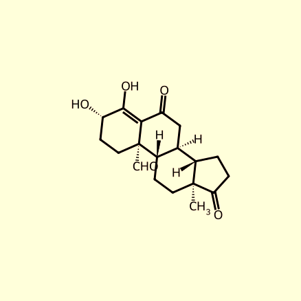 C[C@]12CC[C@H]3[C@@H](CC(=O)C4=C(O)[C@@H](O)CC[C@@]43C=O)[C@@H]1CCC2=O